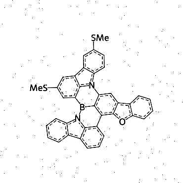 CSc1ccc2c(c1)c1cc(SC)cc3c1n2-c1cc2c(oc4ccccc42)c2c1B3n1c3ccccc3c3cccc-2c31